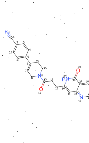 N#Cc1ccc(C2=CCN(C(=O)CCc3cc4ncccc4c(=O)[nH]3)CC2)cc1